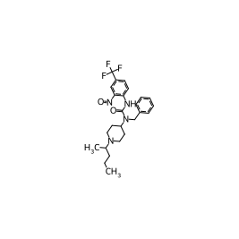 CCCC(C)N1CCC(N(Cc2ccccc2)C(=O)Nc2ccc(C(F)(F)F)cc2N=O)CC1